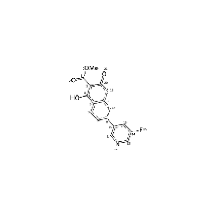 COC(=O)c1c(O)c2ccc(-c3cncc(F)c3)cc2sc1=O